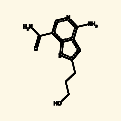 NC(=O)c1cnc(N)c2cc(CCCO)sc12